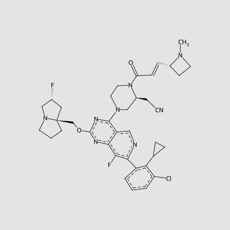 CN1CC[C@@H]1/C=C/C(=O)N1CCN(c2nc(OC[C@@]34CCCN3C[C@H](F)C4)nc3c(F)c(-c4cccc(Cl)c4C4CC4)ncc23)C[C@@H]1CC#N